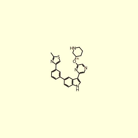 Cc1nc(-c2cccc(-c3ccc4[nH]cc(-c5cncc(O[C@@H]6CCCNC6)n5)c4c3)c2)cs1